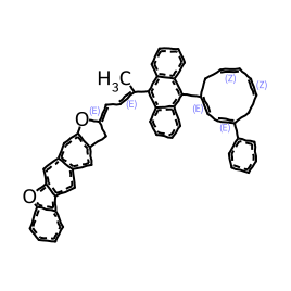 C/C(=C\C=C1/Cc2cc3cc4c(cc3cc2O1)oc1ccccc14)c1c2ccccc2c(/C2=C/C=C(/c3ccccc3)C/C=C\C=C/C2)c2ccccc12